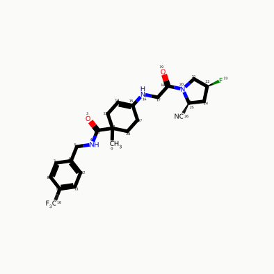 CC1(C(=O)NCc2ccc(C(F)(F)F)cc2)CC=C(NCC(=O)N2C[C@@H](F)C[C@H]2C#N)CC1